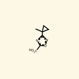 CC1(c2noc(C(=O)O)n2)CC1